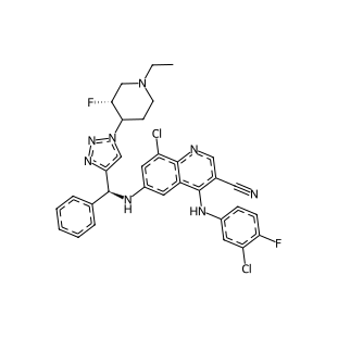 CCN1CCC(n2cc([C@@H](Nc3cc(Cl)c4ncc(C#N)c(Nc5ccc(F)c(Cl)c5)c4c3)c3ccccc3)nn2)[C@H](F)C1